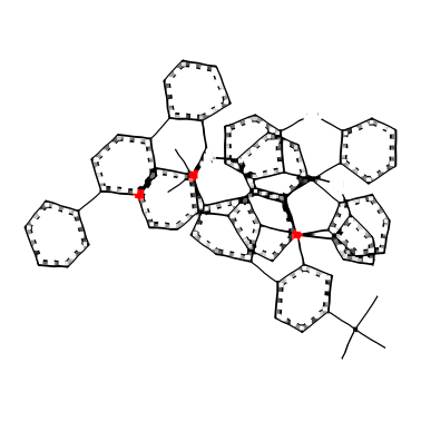 CC(C)(C)c1ccc2c(c1)C1(c3ccccc3Oc3ccc(N(c4ccccc4-c4ccc(-c5ccccc5)cc4)c4ccccc4-c4ccc5c(c4)C4(c6ccccc6Oc6ccccc64)c4ccccc4-5)cc31)c1cc(C(C)(C)C)ccc1-2